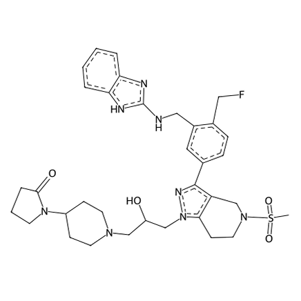 CS(=O)(=O)N1CCc2c(c(-c3ccc(CF)c(CNc4nc5ccccc5[nH]4)c3)nn2CC(O)CN2CCC(N3CCCC3=O)CC2)C1